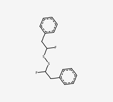 FC(Cc1ccccc1)SSC(F)Cc1ccccc1